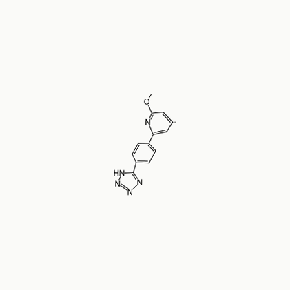 COc1c[c]cc(-c2ccc(-c3nnn[nH]3)cc2)n1